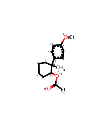 CCOc1ccc(C2(C)CCCCC2OC(=O)CC)cc1